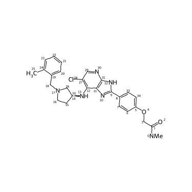 CNC(=O)COc1ccc(-c2nc3c(N[C@H]4CCN(Cc5ccccc5C)C4)c(Cl)cnc3[nH]2)cc1